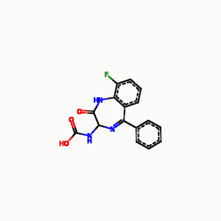 O=C(O)NC1N=C(c2ccccc2)c2cccc(F)c2NC1=O